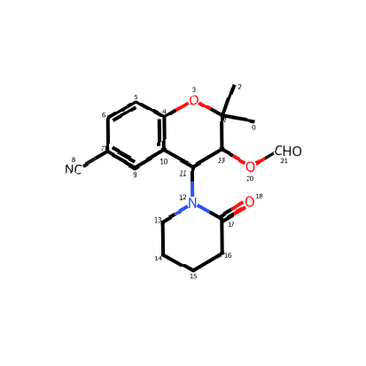 CC1(C)Oc2ccc(C#N)cc2C(N2CCCCC2=O)C1OC=O